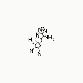 Cc1nc2nonc2c(N)c1Cc1ccc(C#N)c(C#N)c1